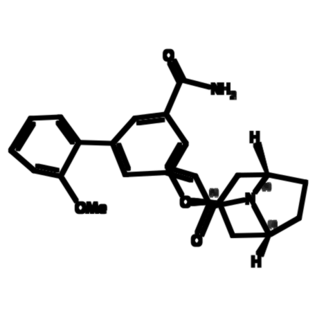 C=CC(=O)N1[C@@H]2CC[C@H]1C[C@H](Oc1cc(C(N)=O)cc(-c3ccccc3OC)c1)C2